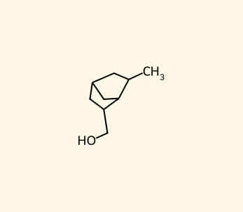 CC1CC2CC(CO)C1C2